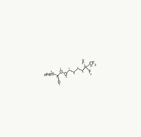 CCCCCC(=O)OOCCCCC(F)(F)C(F)(F)F